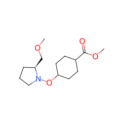 COC[C@@H]1CCCN1OC1CCC(C(=O)OC)CC1